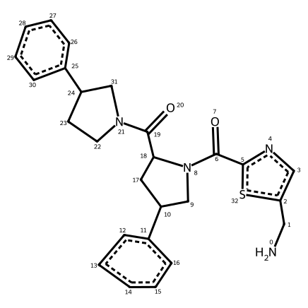 NCc1cnc(C(=O)N2CC(c3ccccc3)CC2C(=O)N2CCC(c3ccccc3)C2)s1